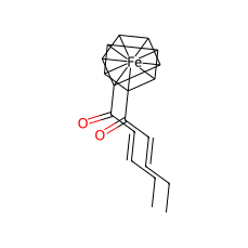 CCC=CC(=O)[C]12[CH]3[CH]4[CH]5[CH]1[Fe]45321678[CH]2[CH]1[CH]6[C]7(C(=O)C=CCC)[CH]28